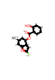 N#Cc1cc(OC(=O)c2ccccc2O)c2cc(F)oc2c1